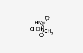 C[C@H](c1ccccc1)N(C[C@H]1CNC[C@@H]1Cc1ccccc1)c1ccc(Cl)cc1